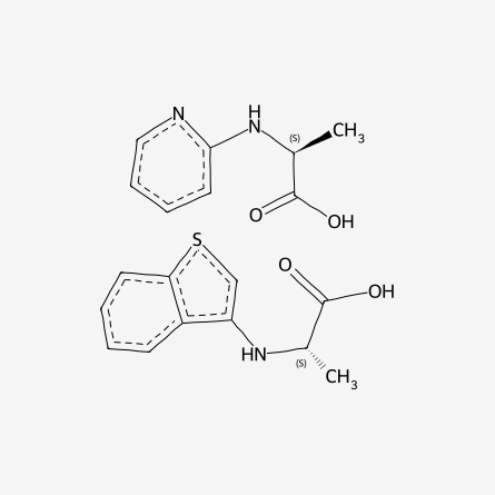 C[C@H](Nc1ccccn1)C(=O)O.C[C@H](Nc1csc2ccccc12)C(=O)O